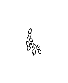 C1=CCC(C2N=C(n3c4ccc5c6cc7ccccc7cc6oc5c4c4ccc5ccccc5c43)N=C3Oc4ccccc4C32)C=C1